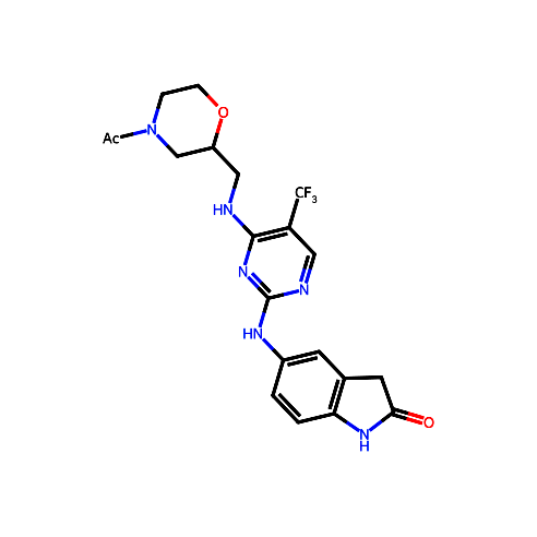 CC(=O)N1CCOC(CNc2nc(Nc3ccc4c(c3)CC(=O)N4)ncc2C(F)(F)F)C1